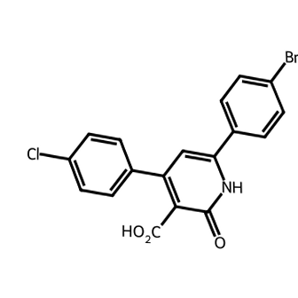 O=C(O)c1c(-c2ccc(Cl)cc2)cc(-c2ccc(Br)cc2)[nH]c1=O